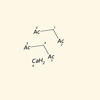 CC(=O)CC(C)=O.CC(=O)CC(C)=O.[CaH2]